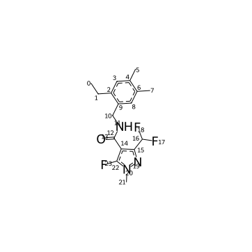 CCc1cc(C)c(C)cc1CNC(=O)c1c(C(F)F)nn(C)c1F